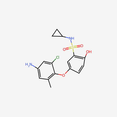 Cc1cc(N)cc(Cl)c1Oc1ccc(O)c(S(=O)(=O)NC2CC2)c1